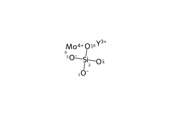 [Mo+4].[O-][Si]([O-])([O-])[O-].[Y+3]